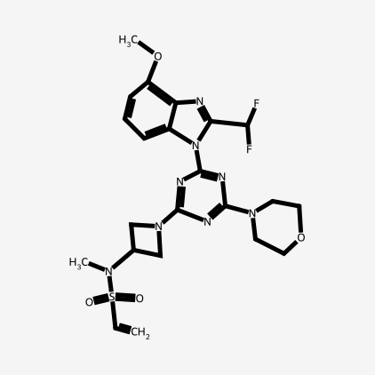 C=CS(=O)(=O)N(C)C1CN(c2nc(N3CCOCC3)nc(-n3c(C(F)F)nc4c(OC)cccc43)n2)C1